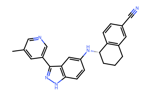 Cc1cncc(-c2n[nH]c3ccc(N[C@H]4CCCc5cc(C#N)ccc54)cc23)c1